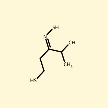 CC(C)/C(CCS)=N\S